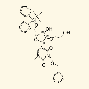 Cc1cn([C@@H]2O[C@H](CO[Si](c3ccccc3)(c3ccccc3)C(C)(C)C)[C@@H](O)[C@H]2OCCO)c(=O)n(COCc2ccccc2)c1=O